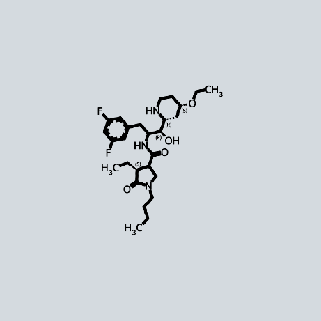 CCCCN1CC(C(=O)NC(Cc2cc(F)cc(F)c2)[C@H](O)[C@H]2C[C@@H](OCC)CCN2)[C@H](CC)C1=O